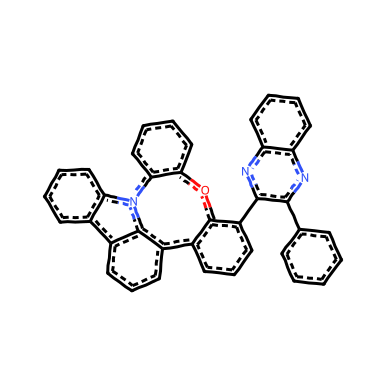 c1ccc(-c2nc3ccccc3nc2-c2cccc3c2oc2ccccc2n2c4ccccc4c4cccc3c42)cc1